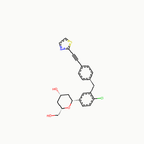 OC[C@@H]1C[C@H](O)C[C@H](c2ccc(Cl)c(Cc3ccc(C#Cc4nccs4)cc3)c2)O1